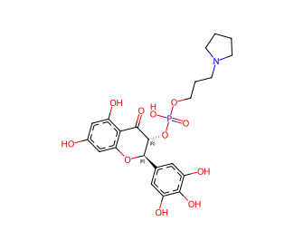 O=C1c2c(O)cc(O)cc2O[C@H](c2cc(O)c(O)c(O)c2)[C@H]1OP(=O)(O)OCCCN1CCCC1